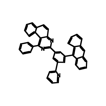 c1ccc(-c2nc(-c3cc(-c4ccccn4)cc(-c4c5ccccc5cc5ccccc45)c3)nc3ccc4ccccc4c23)cc1